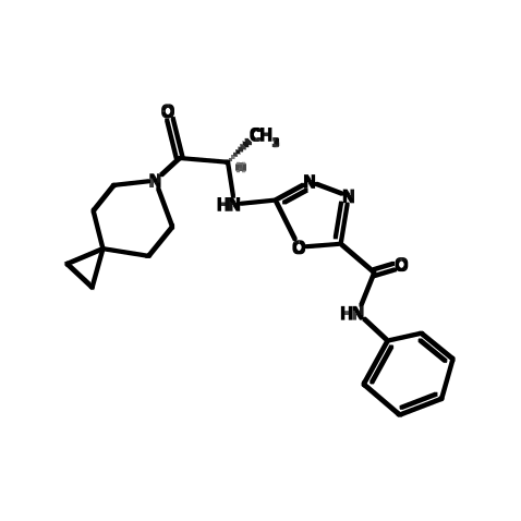 C[C@H](Nc1nnc(C(=O)Nc2ccccc2)o1)C(=O)N1CCC2(CC1)CC2